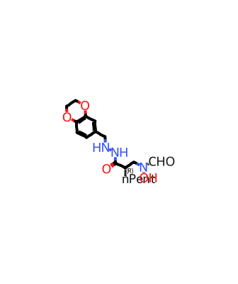 CCCCC[C@H](CN(O)C=O)C(=O)NNCc1ccc2c(c1)OCCO2